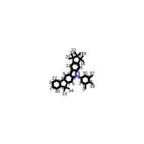 Cc1cc(-n2c3cc4c(cc3c3cc5c(cc32)C(C)(C)C(C)(C)C5(C)C)-c2ccccc2C4(C)C)cc(C)c1C